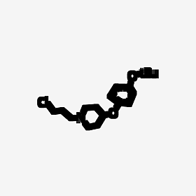 CC(C)(C)Oc1ccc(OC2CCN(CCCCl)CC2)cc1